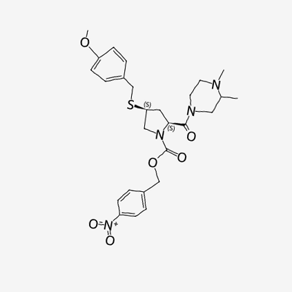 COc1ccc(CS[C@H]2C[C@@H](C(=O)N3CCN(C)C(C)C3)N(C(=O)OCc3ccc([N+](=O)[O-])cc3)C2)cc1